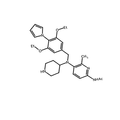 CCOc1cc(CN(c2ccc(NC(C)=O)nc2C)C2CCNCC2)cc(OCC)c1-n1cccc1